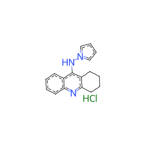 Cl.c1ccc2c(Nn3cccc3)c3c(nc2c1)CCCC3